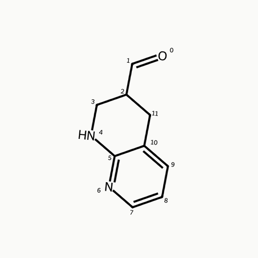 O=CC1CNc2ncccc2C1